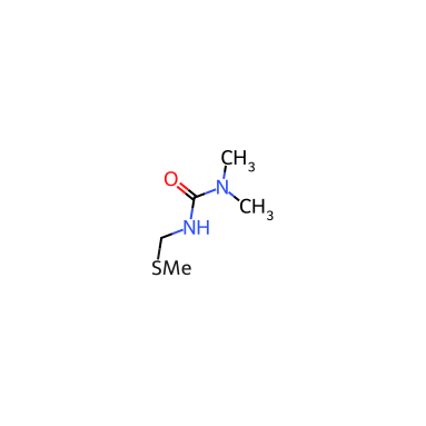 CSCNC(=O)N(C)C